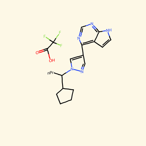 CCCC(C1CCCC1)n1cc(-c2ncnc3[nH]ccc23)cn1.O=C(O)C(F)(F)F